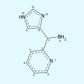 BC(c1ccccn1)c1c[nH]cn1